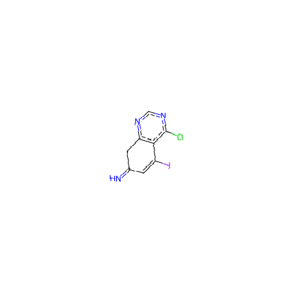 N=C1C=C(I)c2c(Cl)ncnc2C1